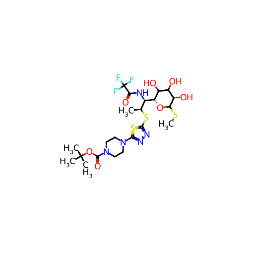 CSC1O[C@H]([C@H](NC(=O)C(F)(F)F)[C@H](C)Sc2nnc(N3CCN(C(=O)OC(C)(C)C)CC3)s2)C(O)C(O)[C@H]1O